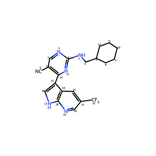 N#Cc1cnc(NCC2CCCCC2)nc1-c1c[nH]c2ncc(C(F)(F)F)cc12